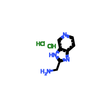 Cl.Cl.NCc1nc2ccncc2[nH]1